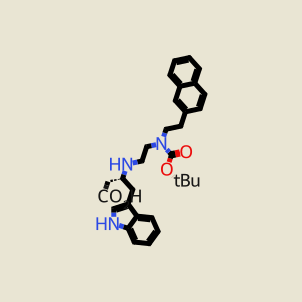 CC(C)(C)OC(=O)N(CCN[C@@H](CC(=O)O)Cc1c[nH]c2ccccc12)CCc1ccc2ccccc2c1